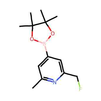 Cc1cc(B2OC(C)(C)C(C)(C)O2)cc(CF)n1